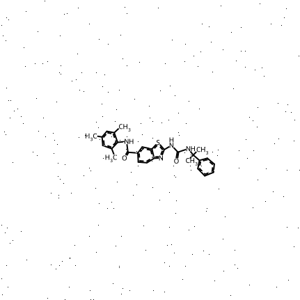 Cc1cc(C)c(NC(=O)c2ccc3nc(NC(=O)NC(C)(C)c4ccccc4)sc3c2)c(C)c1